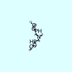 COOPCN(C)CPOOC